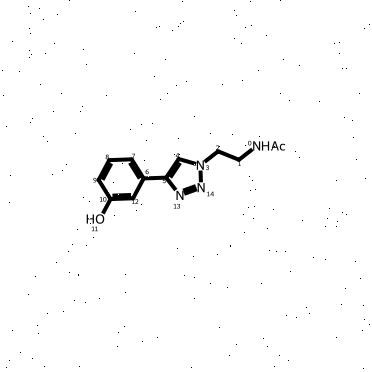 CC(=O)NCCn1cc(-c2cccc(O)c2)nn1